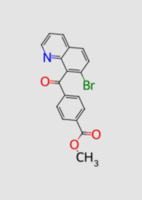 COC(=O)c1ccc(C(=O)c2c(Br)ccc3cccnc23)cc1